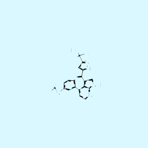 CC(=O)Nc1cccc(-c2ccnc3[nH]cc(C(=O)c4cc(C(C)(C)C)nn4C)c23)c1